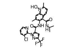 Cc1cc2c(ccc(C)[n+]2O)c(C(=O)NC(C)C)c1NC(=O)c1cc(C(F)(F)F)nn1-c1ncccc1Cl